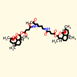 CC(=O)C(CCCCNC(=O)CCC(=O)O[C@@H]1O[C@@H]2O[C@]3(C)CC[C@H]4[C@H](C)CC[C@@H]([C@H]1C)[C@@]24OO3)NC(=O)CCC(=O)O[C@@H]1O[C@@H]2O[C@]3(C)CC[C@H]4[C@H](C)CC[C@@H]([C@H]1C)[C@@]24OO3